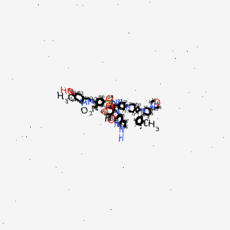 Cc1ccccc1[C@@H]1CC[C@H](N2CCOCC2)CN1C1CC2(CCN(c3ccc(C(=O)NS(=O)(=O)c4ccc(NCC5CCC(C)(O)CC5)c([N+](=O)[O-])c4)c(N4c5cc6cc[nH]c6nc5O[C@H]5COCC[C@@H]54)c3)CC2)C1